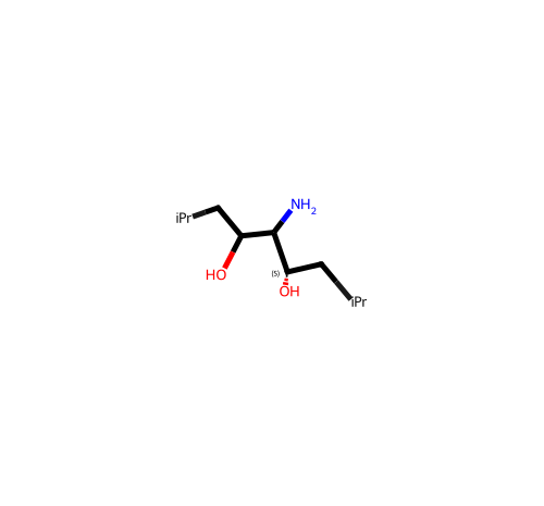 CC(C)CC(O)C(N)[C@@H](O)CC(C)C